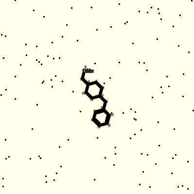 COCC1CCC(Cc2ccccc2)CC1